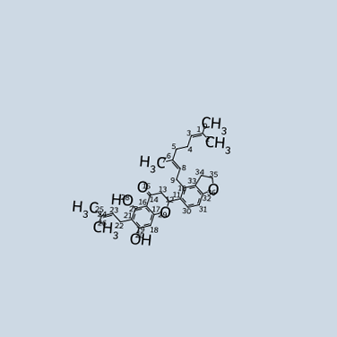 CC(C)=CCC/C(C)=C/Cc1c(C2CC(=O)c3c(cc(O)c(CC=C(C)C)c3O)O2)ccc2c1CCO2